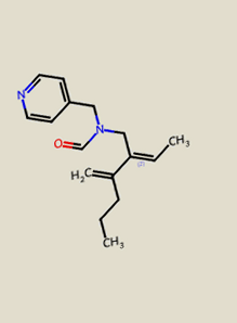 C=C(CCC)/C(=C/C)CN(C=O)Cc1ccncc1